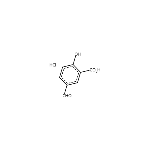 Cl.O=Cc1ccc(O)c(C(=O)O)c1